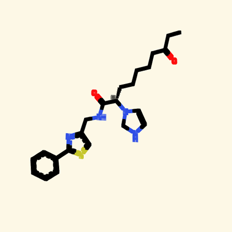 CCC(=O)CCCCC[C@@H](C(=O)NCc1csc(-c2ccccc2)n1)N1C=CNC1